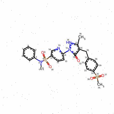 CCN(c1ccccc1)S(=O)(=O)c1ccc(-n2[nH]c(C)c(Cc3ccc(S(C)(=O)=O)cc3)c2=O)nc1